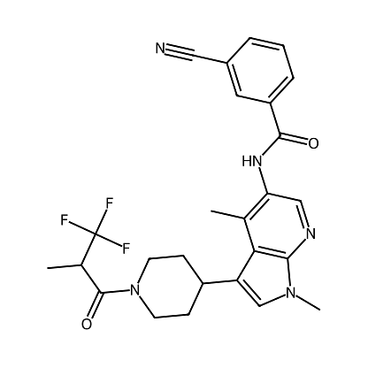 Cc1c(NC(=O)c2cccc(C#N)c2)cnc2c1c(C1CCN(C(=O)C(C)C(F)(F)F)CC1)cn2C